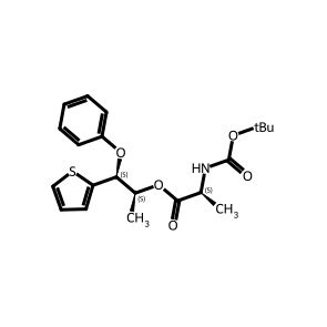 C[C@H](NC(=O)OC(C)(C)C)C(=O)O[C@@H](C)[C@H](Oc1ccccc1)c1cccs1